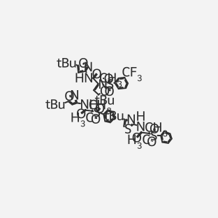 CC(C)(C)c1cc(NC(=O)C(C)(C)S(=O)(=O)c2ccccc2)no1.CC(C)(C)c1cc(NC(=O)C2=CC(C(C)(C)C)O[N+]2(C)S(=O)(=O)c2cccc(C(F)(F)F)c2)no1.CC(C)(C)c1csc(NC(=O)C(C)(C)S(=O)(=O)c2ccccc2)n1